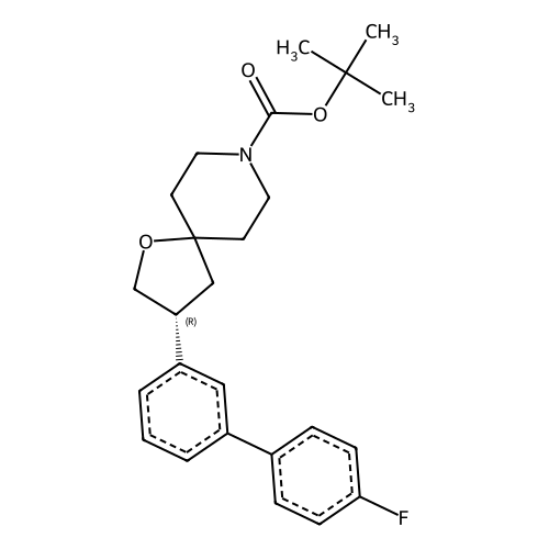 CC(C)(C)OC(=O)N1CCC2(CC1)C[C@H](c1cccc(-c3ccc(F)cc3)c1)CO2